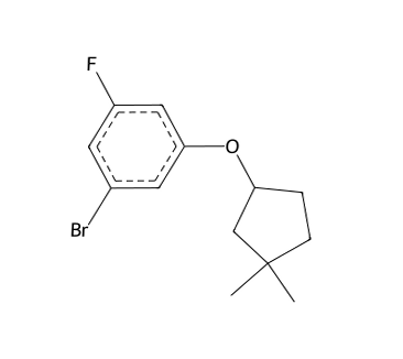 CC1(C)CCC(Oc2cc(F)cc(Br)c2)C1